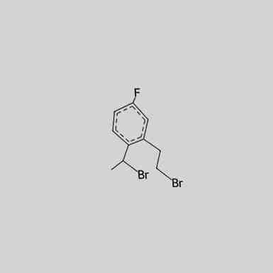 CC(Br)c1ccc(F)cc1CCBr